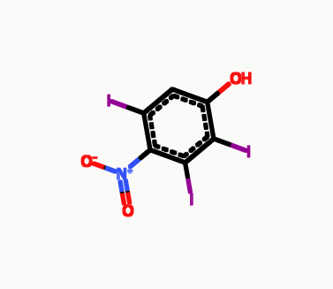 O=[N+]([O-])c1c(I)cc(O)c(I)c1I